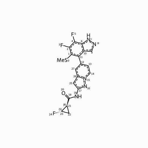 CSc1c(F)c(F)c2[nH]ncc2c1-c1ccn2nc(NC(=O)[C@H]3C[C@@H]3F)cc2c1